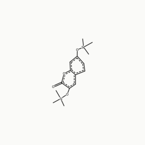 C[Si](C)(C)Oc1ccc2cc(O[Si](C)(C)C)c(=O)oc2c1